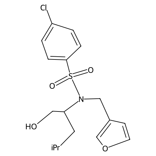 CC(C)CC(CO)N(Cc1ccoc1)S(=O)(=O)c1ccc(Cl)cc1